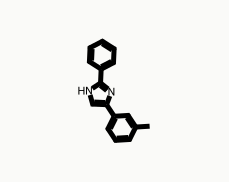 Cc1cccc(-c2c[nH]c(-c3ccccc3)n2)c1